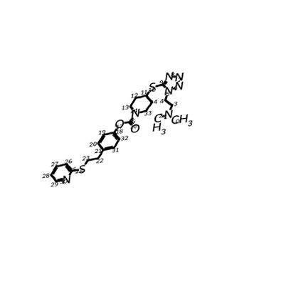 CN(C)CCn1nnnc1SC1CCN(C(=O)Oc2ccc(CCSc3ccccn3)cc2)CC1